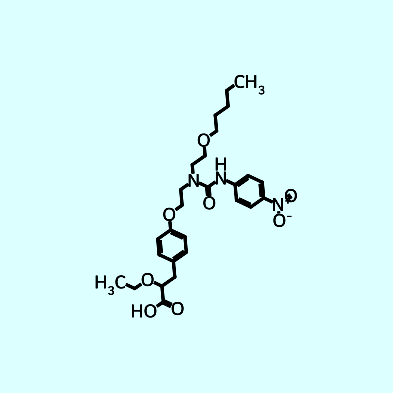 CCCCCOCCN(CCOc1ccc(CC(OCC)C(=O)O)cc1)C(=O)Nc1ccc([N+](=O)[O-])cc1